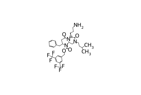 CC(C)CCN1CC2N(C(=O)OCc3cc(C(F)(F)F)cc(C(F)(F)F)c3)C(Cc3ccccc3)CC(=O)N2[C@@H](CCCN)C1=O